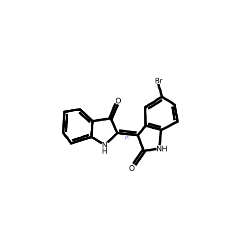 O=C1Nc2ccc(Br)cc2/C1=C1/Nc2ccccc2C1=O